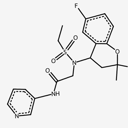 CCS(=O)(=O)N(CC(=O)Nc1cccnc1)C1CC(C)(C)Oc2ccc(F)cc21